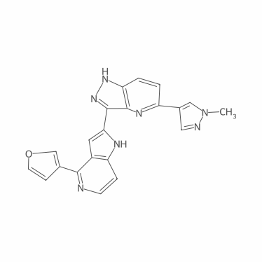 Cn1cc(-c2ccc3[nH]nc(-c4cc5c(-c6ccoc6)nccc5[nH]4)c3n2)cn1